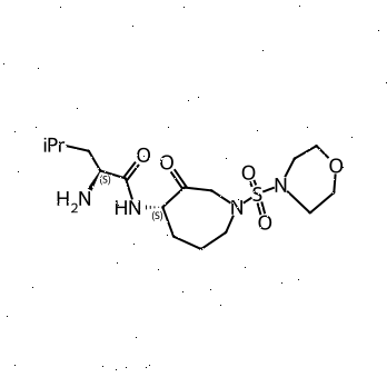 CC(C)C[C@H](N)C(=O)N[C@H]1CCCN(S(=O)(=O)N2CCOCC2)CC1=O